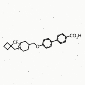 O=C(O)c1ccc(-c2ccc(OCC3CCN(CC4(C(F)(F)F)CCC4)CC3)cc2)cc1